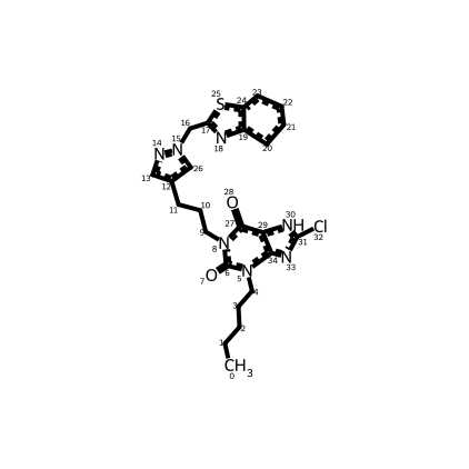 CCCCCn1c(=O)n(CCCc2cnn(Cc3nc4ccccc4s3)c2)c(=O)c2[nH]c(Cl)nc21